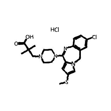 CSc1cc2n(c1)Cc1cc(Cl)ccc1N=C2N1CCN(CC(C)(C)C(=O)O)CC1.Cl